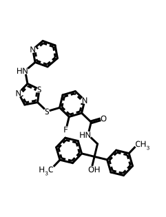 Cc1cccc(C(O)(CNC(=O)c2nccc(Sc3cnc(Nc4ccccn4)s3)c2F)c2cccc(C)c2)c1